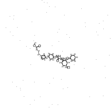 COC(=O)CCCc1ncc(-c2ccc(NC(=O)Nc3ccc(Cl)cc3Oc3ccccc3)cc2)s1